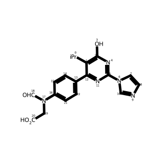 CC(C)c1c(O)nc(-n2ccnc2)nc1-c1ccc(N(C=O)CC(=O)O)cc1